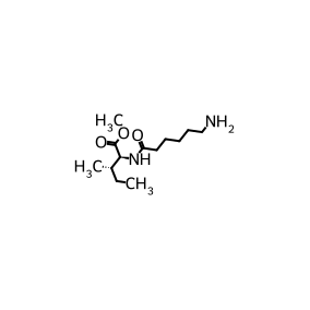 CC[C@H](C)[C@H](NC(=O)CCCCCN)C(=O)OC